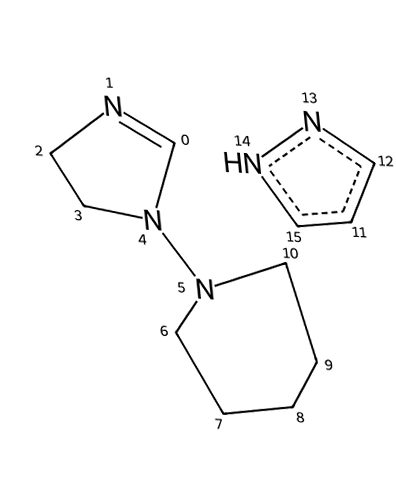 C1=NCCN1N1CCCCC1.c1cn[nH]c1